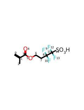 C=C(C)C(=O)OCCC(F)(F)C(F)(F)S(=O)(=O)O